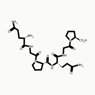 NC(=O)CC[C@H](NC(=O)[C@@H]1CCCN1C(=O)CNC(=O)[C@@H](N)CCC(N)=O)C(=O)NCC(=O)N1CCC[C@H]1C(=O)O